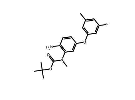 Cc1cc(F)cc(Oc2ccc(N)c(N(C)C(=O)OC(C)(C)C)c2)c1